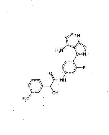 Nc1ncnc2cnn(-c3ccc(NC(=O)C(O)c4cccc(C(F)(F)F)c4)cc3F)c12